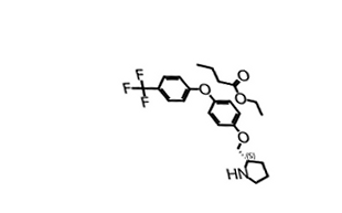 CCCC(=O)OCC.FC(F)(F)c1ccc(Oc2ccc(OC[C@@H]3CCCN3)cc2)cc1